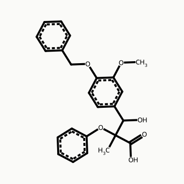 COc1cc(C(O)C(C)(Oc2ccccc2)C(=O)O)ccc1OCc1ccccc1